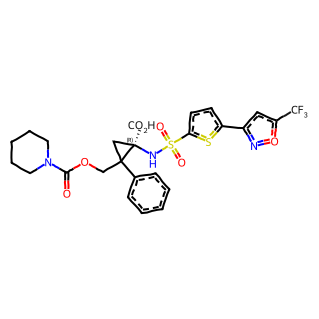 O=C(OCC1(c2ccccc2)C[C@]1(NS(=O)(=O)c1ccc(-c2cc(C(F)(F)F)on2)s1)C(=O)O)N1CCCCC1